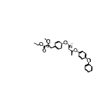 CCOC(=O)[C@H](Cc1ccc(O[C@H](C)CC(C)Oc2ccc(Oc3ccccc3)cc2)cc1)OC